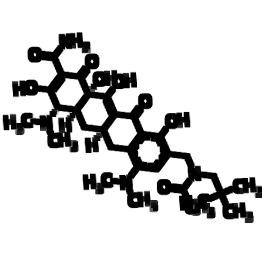 CC(=O)N(Cc1cc(N(C)C)c2c(c1O)C(=O)C1=C(O)[C@]3(O)C(=O)C(C(N)=O)=C(O)[C@@H](N(C)C)[C@@H]3C[C@@H]1C2)CC(C)(C)C